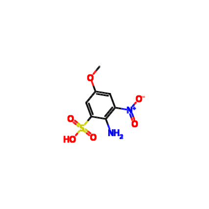 COc1cc([N+](=O)[O-])c(N)c(S(=O)(=O)O)c1